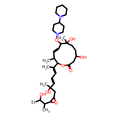 CCC(O)C(C)C1OC1CC(C)(O)/C=C/C=C(\C)C1OC(=O)CC(O)CCC(C)(O)C(ON2CCC(N3CCCCC3)CC2)/C=C/C1C